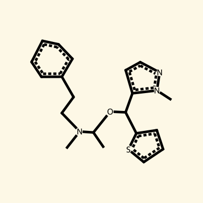 CC(OC(c1cccs1)c1ccnn1C)N(C)CCc1ccccc1